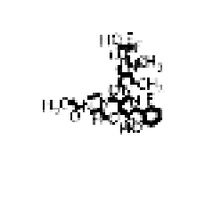 C=CC(=O)N1CCN2C(=O)c3c(N4Cc5cnn(C)c5[C@H]4C)nc(-c4c(O)cccc4F)c(Cl)c3OC[C@H]2C1.O=C(O)C(F)(F)F